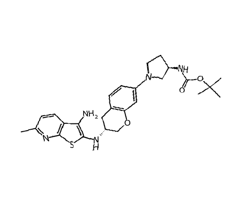 Cc1ccc2c(N)c(N[C@H]3COc4cc(N5CC[C@@H](NC(=O)OC(C)(C)C)C5)ccc4C3)sc2n1